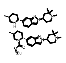 C[C@H]1CC[C@H](c2ccc3cn(C4CCN(C)C(C)(C)C4)nc3c2)N(C(=O)OC(C)(C)C)C1.C[C@H]1CC[C@H](c2ccc3cn(C4CCN(C)C(C)(C)C4)nc3c2)NC1